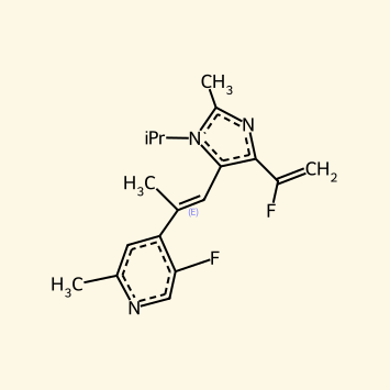 C=C(F)c1nc(C)n(C(C)C)c1/C=C(\C)c1cc(C)ncc1F